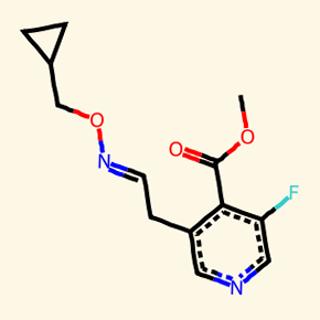 COC(=O)c1c(F)cncc1CC=NOCC1CC1